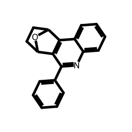 c1ccc(-c2nc3ccccc3c3c2C2CCC3O2)cc1